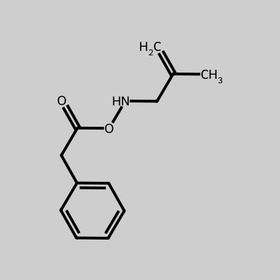 C=C(C)CNOC(=O)Cc1ccccc1